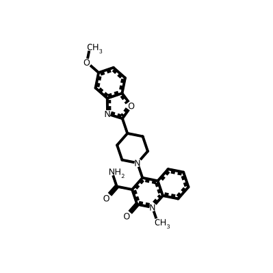 COc1ccc2oc(C3CCN(c4c(C(N)=O)c(=O)n(C)c5ccccc45)CC3)nc2c1